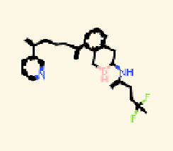 C=C(CCC(C)(F)F)NC1BCc2c(cccc2C(=C)CCCC(=C)c2cccnc2)C1